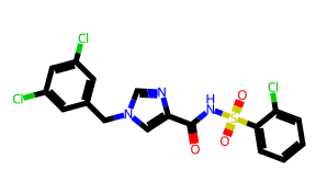 O=C(NS(=O)(=O)c1ccccc1Cl)c1cn(Cc2cc(Cl)cc(Cl)c2)cn1